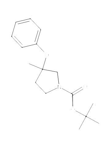 CC(C)(C)OC(=O)N1CCC(C)(Oc2ccccc2)C1